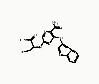 CC(C)CC(Nc1cnc(C(N)=O)c(Nc2cnc3ccccc3c2)n1)C(N)=O